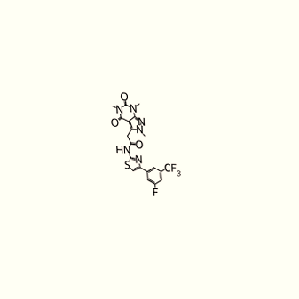 Cn1nc2c(c1CC(=O)Nc1nc(-c3cc(F)cc(C(F)(F)F)c3)cs1)c(=O)n(C)c(=O)n2C